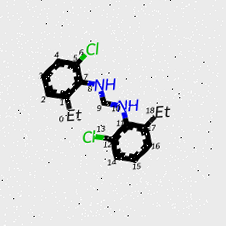 CCc1cccc(Cl)c1NCNc1c(Cl)cccc1CC